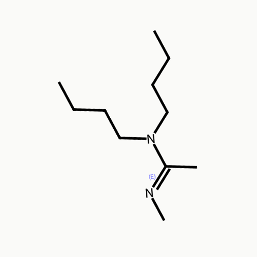 CCCCN(CCCC)/C(C)=N/C